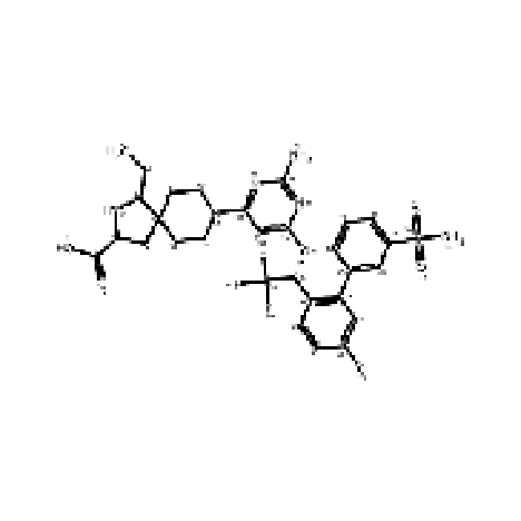 CCC1NC(C(=O)O)CC12CCN(c1cc(O[C@H](c3ccc(Cl)cc3-c3cccc(S(N)(=O)=O)c3)C(F)(F)F)nc(N)n1)CC2